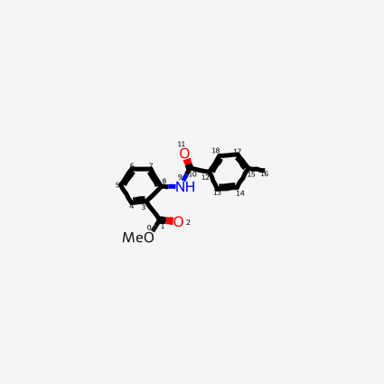 COC(=O)c1ccccc1NC(=O)c1ccc(C)cc1